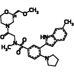 COC[C@H]1CN(C(=O)CN(C)S(=O)(=O)c2ccc(N3CCCC3)c(-c3cc4ccc(C)cc4[nH]3)c2)CCO1